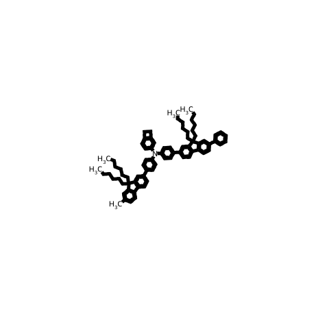 CCCCCCC1(CCCCCC)c2cc(C)ccc2-c2ccc(-c3ccc(N(c4ccc(-c5ccc6c(c5)C(CCCCCC)(CCCCCC)c5cc(-c7ccccc7)ccc5-6)cc4)c4ccc5c(c4)CC5)cc3)cc21